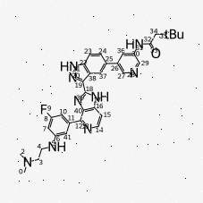 CN(C)CCNc1cc(F)cc(-c2nccc3[nH]c(-c4n[nH]c5ccc(-c6cncc(NC(=O)CC(C)(C)C)c6)cc45)nc23)c1